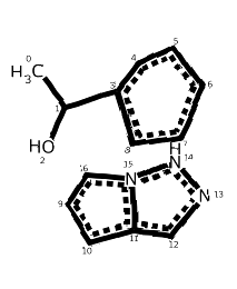 CC(O)c1ccccc1.c1cc2cn[nH]n2c1